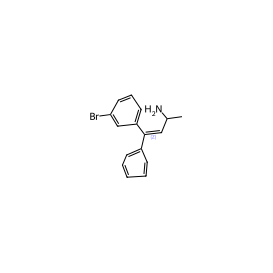 CC(N)/C=C(/c1ccccc1)c1cccc(Br)c1